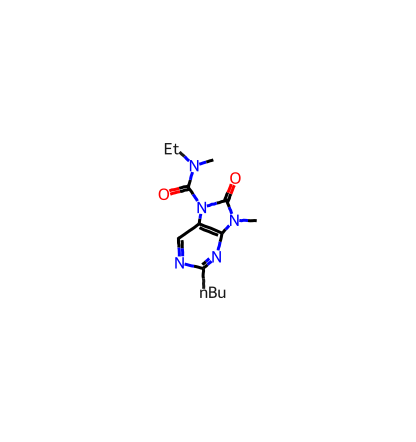 CCCCc1ncc2c(n1)n(C)c(=O)n2C(=O)N(C)CC